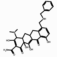 CN(C)C1C(O)=C(C(N)=O)C(=O)C2(O)C(O)=C3C(=O)c4c(O)ccc(CNCc5ccccc5)c4CC3CC12